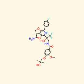 COc1cc(C(=O)NCC(O)(c2cc3c(c(-c4ccc(F)cc4)n2)OC[C@]3(C)C(N)=O)C(F)(F)F)ccc1OCC(C)(C)O